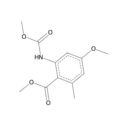 COC(=O)Nc1cc(OC)cc(C)c1C(=O)OC